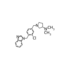 CN(C)C1CCN(Cc2ccc(Cn3cnc4ccccc43)c(Cl)c2)C1